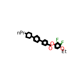 CCCC1CCC(c2ccc(-c3ccc(C(=O)Oc4ccc(OCC)c(F)c4F)cc3)cc2)CC1